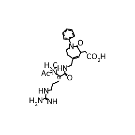 CC(=O)N(C)[C@@H](CCCNC(=N)N)C(=O)NCC1=CC(CC(=O)O)C(=O)N(c2ccccc2)CC1